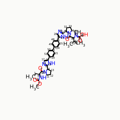 CC[C@H](NC(=O)OC)C(=O)N1CCCC1c1ncc(-c2ccc(-c3ccc(-c4cnc([C@@H]5CCCN5C(=O)[C@H](C(C)C)N(C)C(=O)O)[nH]4)cc3)cc2)[nH]1